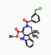 CC(C)OC(=O)C1=CN(C(=O)c2cccc(CCl)c2)CC(C)(C)c2c1[nH]c1ccccc21